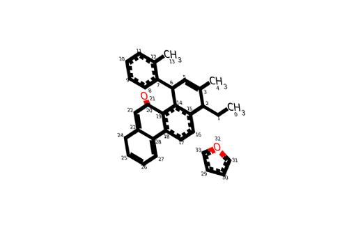 CCC1C(C)=CC(c2ccccc2C)c2c1ccc1c2C(=O)C=C2CC=CC=C21.c1ccoc1